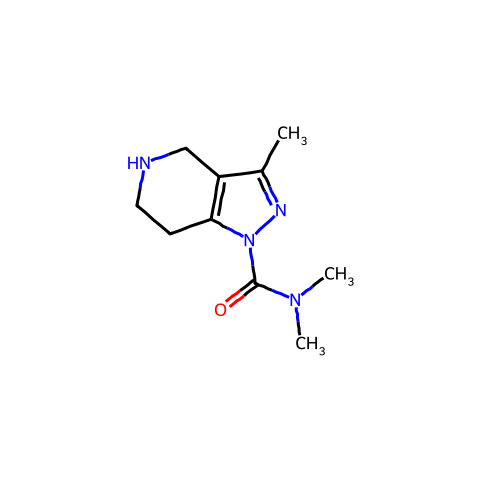 Cc1nn(C(=O)N(C)C)c2c1CNCC2